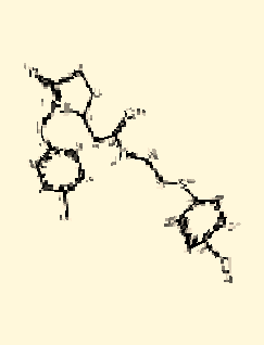 Cc1ccc(CN2C(=O)CCC2CC(=O)OCCSc2ccc(Cl)cc2)cc1